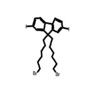 BrCCCCCCC1(CCCCCCBr)c2cc(I)ccc2-c2ccc(I)cc21